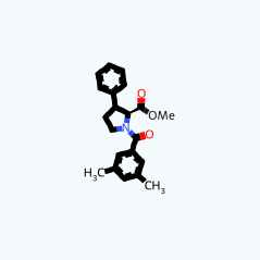 COC(=O)[C@@H]1C(c2ccccc2)CCN1C(=O)c1cc(C)cc(C)c1